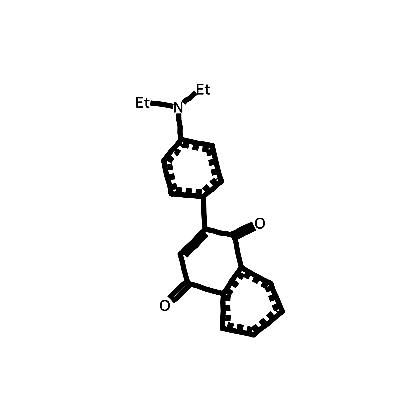 CCN(CC)c1ccc(C2=CC(=O)c3ccccc3C2=O)cc1